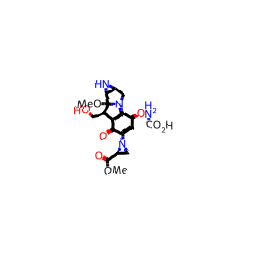 COC(=O)C1CN1C1=CC(=O)C2=C(C1=O)C(CO)C1(OC)C3NC3CN21.NC(=O)O